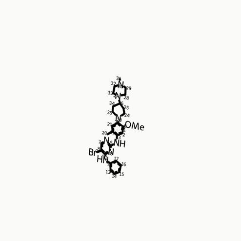 COc1cc(Nc2ncc(Br)c(Nc3[c]cccc3)n2)c(C)cc1N1CCC(N2CCN(C)CC2)CC1